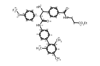 CCC[C@@H](c1ccc(C(=O)NCCC(=O)OCC)cc1)[C@H](C(=O)Nc1ccc(-c2c(C)cc(C)cc2C)cc1)c1ccc(OC(F)(F)F)cc1